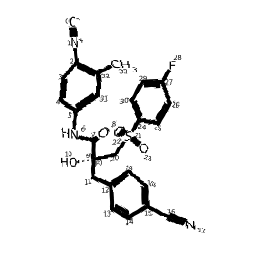 [C-]#[N+]c1ccc(NC(=O)[C@](O)(Cc2ccc(C#N)cc2)CS(=O)(=O)c2ccc(F)cc2)cc1C